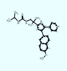 COc1ccc2cc(-c3nc(C(C)(C)CNC(=O)NC(C)C)[nH]c3-c3ccncc3)ccc2c1